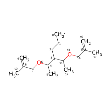 [CH2]CC[C](C(C)OCC(=C)C)C(C)OCC(=C)C